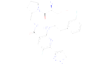 N[C@@H](CO)C(=O)N1CCCC1CNC(=O)c1cc(F)c(-c2cc[nH]n2)nc1NCCc1cccc(F)c1